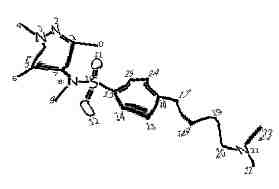 Cc1nn(C)c(C)c1N(C)S(=O)(=O)c1ccc(CCCCN(C)C)cc1